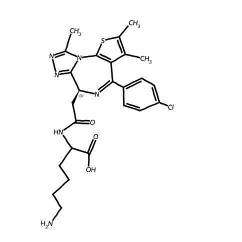 Cc1sc2c(c1C)C(c1ccc(Cl)cc1)=N[C@@H](CC(=O)NC(CCCCN)C(=O)O)c1nnc(C)n1-2